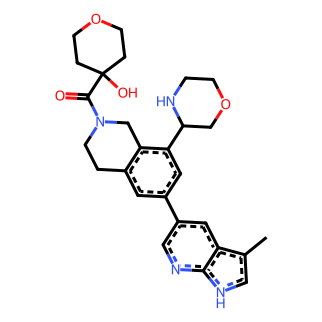 Cc1c[nH]c2ncc(-c3cc4c(c(C5COCCN5)c3)CN(C(=O)C3(O)CCOCC3)CC4)cc12